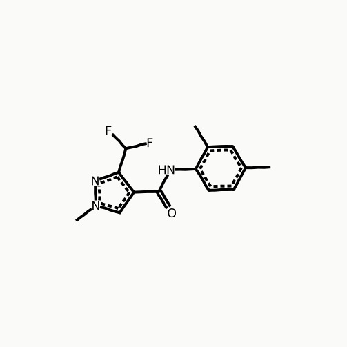 Cc1ccc(NC(=O)c2cn(C)nc2C(F)F)c(C)c1